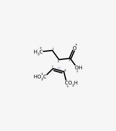 CCCC(=O)O.O=C(O)/C=C\C(=O)O